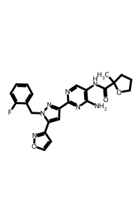 CC1(C(=O)Nc2cnc(-c3cc(-c4ccon4)n(Cc4ccccc4F)n3)nc2N)CCCO1